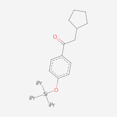 CC(C)[Si](Oc1ccc(C(=O)CC2CCCC2)cc1)(C(C)C)C(C)C